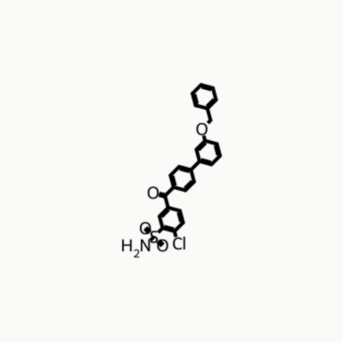 NS(=O)(=O)c1cc(C(=O)c2ccc(-c3cccc(OCc4ccccc4)c3)cc2)ccc1Cl